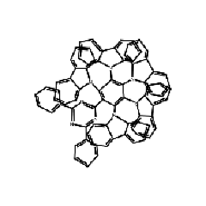 c1ccc(-c2nc(-c3ccccc3)nc(-c3c(-n4c5ccccc5c5ccccc54)c(-n4c5ccccc5c5ccccc54)c(-n4c5ccccc5c5ccccc54)c(-n4c5ccccc5c5ccccc54)c3-n3c4ccccc4c4ccccc43)n2)cc1